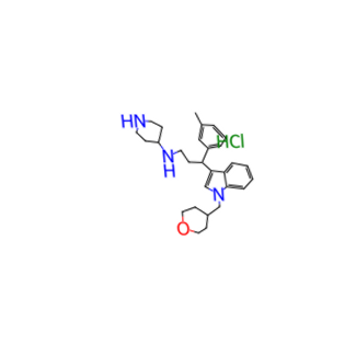 Cc1cccc(C(CCNC2CCNCC2)c2cn(CC3CCOCC3)c3ccccc23)c1.Cl